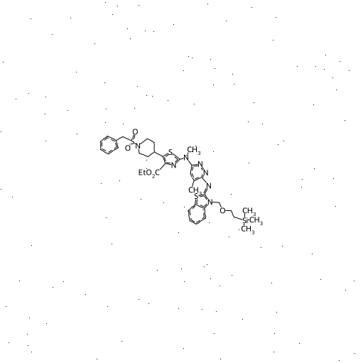 CCOC(=O)c1nc(N(C)c2cc(C)c(/N=c3\sc4ccccc4n3COCC[Si](C)(C)C)nn2)sc1C1CCN(S(=O)(=O)Cc2ccccc2)CC1